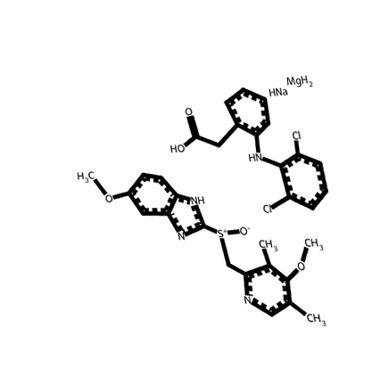 COc1ccc2[nH]c([S+]([O-])Cc3ncc(C)c(OC)c3C)nc2c1.O=C(O)Cc1ccccc1Nc1c(Cl)cccc1Cl.[MgH2].[NaH]